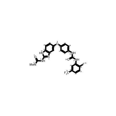 CNC(=O)Nc1nc2cc(Oc3ccc(NC(=O)Nc4cc(C(F)(F)F)ccc4F)cc3)ccc2[nH]1